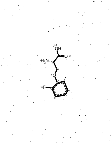 N[C@@H](COc1ccccc1F)C(=O)O